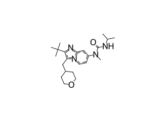 CC(C)NC(=O)N(C)c1ccn2c(CC3CCOCC3)c(C(C)(C)C)nc2c1